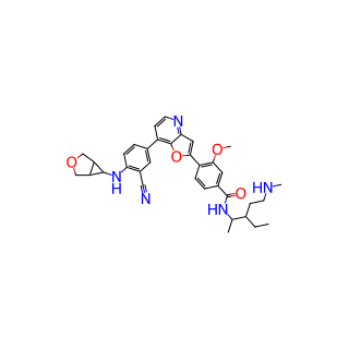 CCC(CCNC)C(C)NC(=O)c1ccc(-c2cc3nccc(-c4ccc(NC5C6COCC65)c(C#N)c4)c3o2)c(OC)c1